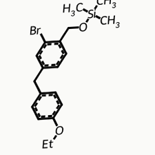 CCOc1ccc(Cc2ccc(CO[Si](C)(C)C)c(Br)c2)cc1